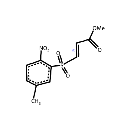 COC(=O)/C=C/S(=O)(=O)c1cc(C)ccc1[N+](=O)[O-]